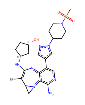 CCC1=C(N[C@@H]2CC[C@H](O)C2)N=c2c(-c3cnn(C4CCN(S(C)(=O)=O)CC4)c3)cnc(N)c2=[N+]2CC12